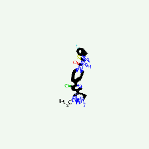 CN(N)/C=C(/c1cnc(C2=CCN(C(=O)Nc3nc4ccc(F)cc4s3)CC2)c(Cl)c1)C1CC1